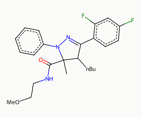 CCCCC1C(c2ccc(F)cc2F)=NN(c2ccccc2)C1(C)C(=O)NCCOC